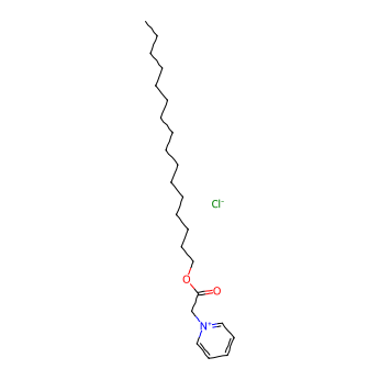 CCCCCCCCCCCCCCCCOC(=O)C[n+]1ccccc1.[Cl-]